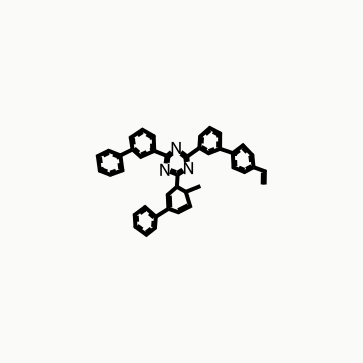 C=Cc1ccc(-c2cccc(-c3nc(-c4cccc(-c5ccccc5)c4)nc(C4C=C(c5ccccc5)C=CC4C)n3)c2)cc1